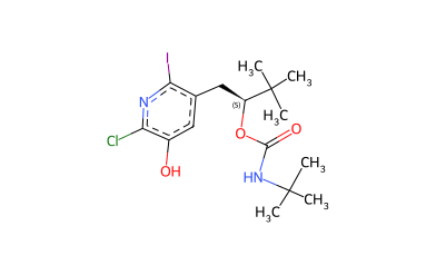 CC(C)(C)NC(=O)O[C@@H](Cc1cc(O)c(Cl)nc1I)C(C)(C)C